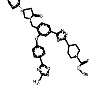 Cc1noc(-c2ccc(Oc3cc(-c4nnc(C5CCN(C(=O)OC(C)(C)C)CC5)s4)ccc3CN3C[C@H](c4ccccc4)CC3=O)cc2)n1